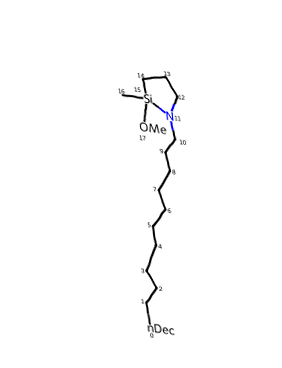 CCCCCCCCCCCCCCCCCCCCN1CCC[Si]1(C)OC